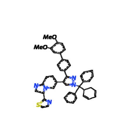 COc1ccc(-c2ccc(-c3nn(C(c4ccccc4)(c4ccccc4)C4C=CC=CC4)cc3-c3ccc4ncc(-c5nccs5)n4c3)cc2)cc1OC